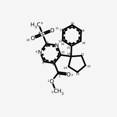 COC(=O)c1cnc(S(C)(=O)=O)nc1C1(c2ccccc2)CCCC1